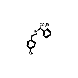 CCOC(=O)[C@@H](NCCc1ccc(C#N)cc1)c1ccccc1